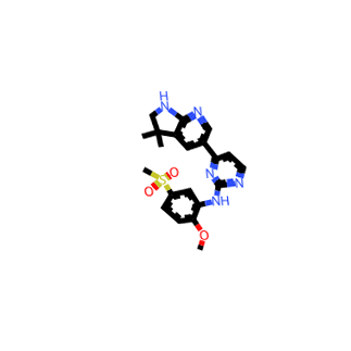 COc1ccc(S(C)(=O)=O)cc1Nc1nccc(-c2cnc3c(c2)C(C)(C)CN3)n1